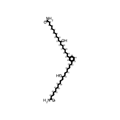 NC(=O)CCCCCCCCCCC(O)CCCCCCCc1cccc(CCCCCCCC(O)CCCCCCCCCCC(N)=O)c1